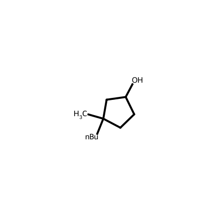 CCCCC1(C)CCC(O)C1